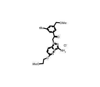 COCCOc1ccc2n(n1)c(N)n[n+]2CC(=O)c1cc(COC)cc(C(C)(C)C)c1.[Cl-]